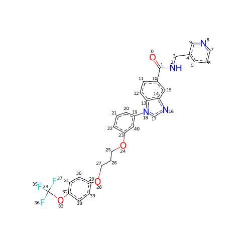 O=C(NCc1cccnc1)c1ccc2c(c1)ncn2-c1cccc(OCCCOc2ccc(OC(F)(F)F)cc2)c1